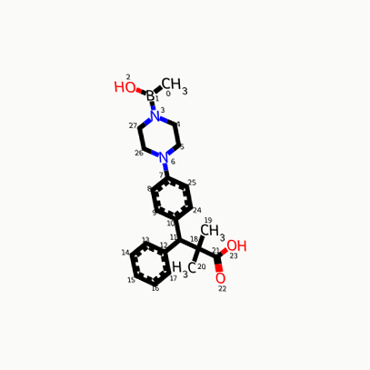 CB(O)N1CCN(c2ccc(C(c3ccccc3)C(C)(C)C(=O)O)cc2)CC1